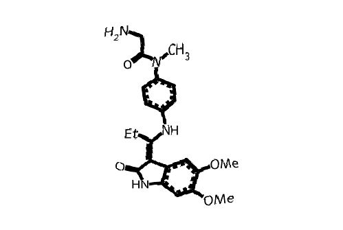 CCC(Nc1ccc(N(C)C(=O)CN)cc1)=C1C(=O)Nc2cc(OC)c(OC)cc21